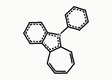 C1=CC=Cc2c(c3ccccc3n2-c2ccccc2)C=1